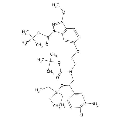 CC[Si](CC)(CC)OC(CN(CCOc1ccc2c(OC)nn(C(=O)OC(C)(C)C)c2c1)C(=O)OC(C)(C)C)c1ccc(Cl)c(N)c1